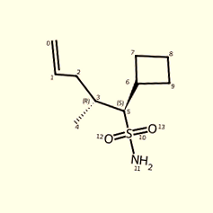 C=CC[C@@H](C)[C@@H](C1CCC1)S(N)(=O)=O